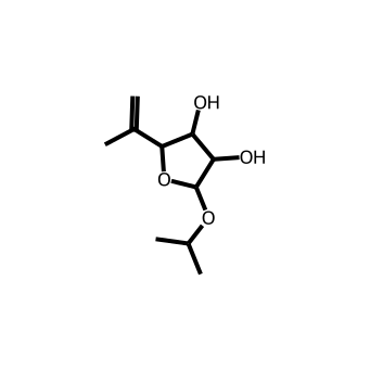 C=C(C)C1OC(OC(C)C)C(O)C1O